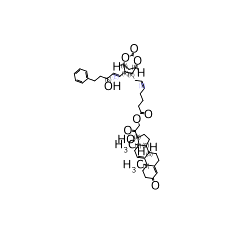 C[C@]12CCC(=O)C=C1CC[C@@H]1C2=CC[C@@]2(C)[C@H]1CC[C@]2(O)C(=O)COC(=O)CCC/C=C\C[C@@H]1[C@@H](/C=C/[C@@H](O)CCc2ccccc2)[C@H]2C[C@@H]1OC(=O)O2